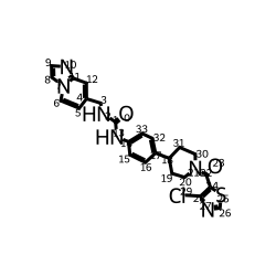 O=C(NCc1ccn2ccnc2c1)Nc1ccc(C2CCN(C(=O)c3scnc3Cl)CC2)cc1